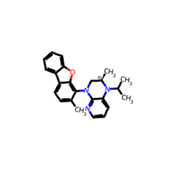 Cc1ccc2c(oc3ccccc32)c1N1C[C@@H](C)N(C(C)C)c2cccnc21